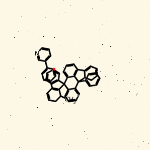 CC1CC=CC(c2ccc(-c3cccnc3)cc2)=C1C1(c2ccccc2)c2ccccc2C2(c3ccccc3)c3c(cccc31)C1=CC=CCC12